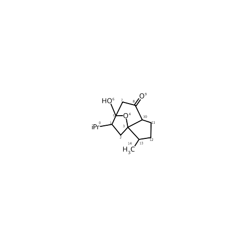 CC(C)C1CC23OC1(O)CC(=O)C2CCC3C